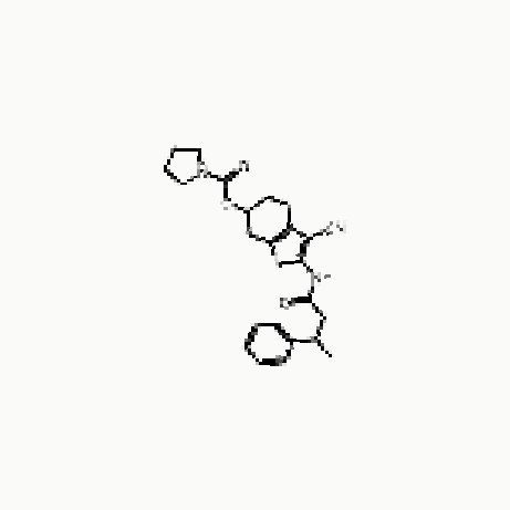 CC(CC(=O)Nc1sc2c(c1C#N)CCC(OC(=O)N1CCCC1)C2)c1ccccc1